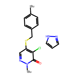 CC(C)(C)c1ccc(CSc2cnn(C(C)(C)C)c(=O)c2Cl)cc1.c1cn[nH]c1